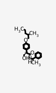 CCCC(C)COc1ccc([C@H](CO)C(=O)N[C@H](C)c2ccccc2)cc1